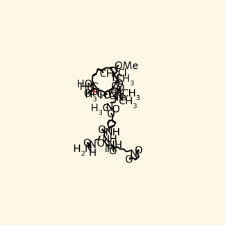 COc1cc2cc(c1Cl)N(C)C(=O)C[C@H](OC(=O)[C@H](C)N(C)C(=O)CCN(C)C(=O)OCc1ccc(NC(=O)[C@@H](CCCNC(N)=O)NC(=O)C(NC(=O)CCCCCN3C(=O)C=CC3=O)C(C)C)cc1)[C@]1(C)O[C@H]1[C@H](C)[C@@H]1C[C@](O)(C/C=C/C=C(\C)C2)NC(=O)O1